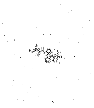 C[C@@H](NC(=O)OC(C)(C)C)C(CN)CC1(C)CCC[C@@H]1CNC(=O)OC(C)(C)C